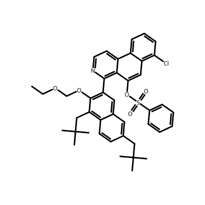 CCOCOc1c(-c2nccc3c2c(OS(=O)(=O)c2ccccc2)cc2c(Cl)cccc23)cc2cc(CC(C)(C)C)ccc2c1CC(C)(C)C